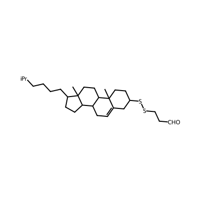 CC(C)CCCCC1CCC2C3CC=C4CC(SSCCC=O)CCC4(C)C3CCC12C